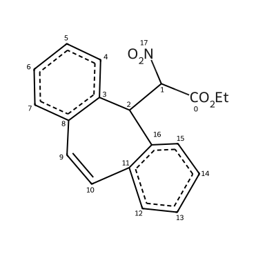 CCOC(=O)C(C1c2ccccc2C=Cc2ccccc21)[N+](=O)[O-]